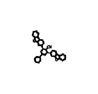 N#Cc1c(-c2ccc3c(c2)oc2ccccc23)cc(-c2ccccc2)cc1-c1ccc2c(c1)oc1ccccc12